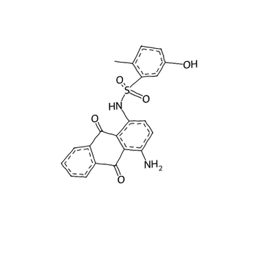 Cc1ccc(O)cc1S(=O)(=O)Nc1ccc(N)c2c1C(=O)c1ccccc1C2=O